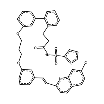 O=C(CCc1ccccc1-c1cccc(OCCCOc2cccc(C=Cc3ccc4ccc(Cl)cc4n3)c2)c1)NS(=O)(=O)c1cccs1